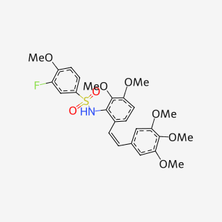 COc1ccc(S(=O)(=O)Nc2c(/C=C\c3cc(OC)c(OC)c(OC)c3)ccc(OC)c2OC)cc1F